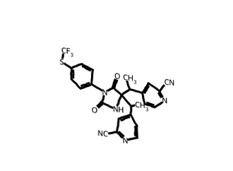 CC(c1ccnc(C#N)c1)C1(C(C)c2ccnc(C#N)c2)NC(=O)N(c2ccc(SC(F)(F)F)cc2)C1=O